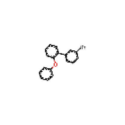 CC(C)c1cccc(-c2ccccc2Oc2ccccc2)c1